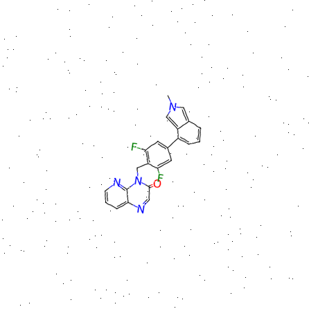 Cn1cc2cccc(-c3cc(F)c(Cn4c(=O)cnc5cccnc54)c(F)c3)c2c1